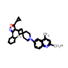 O=C(O)c1cc(C(F)(F)F)c2cc(N3CCC4(C=C(c5c(-c6ccccc6C(F)(F)F)noc5C5CC5)C4)CC3)ccc2n1